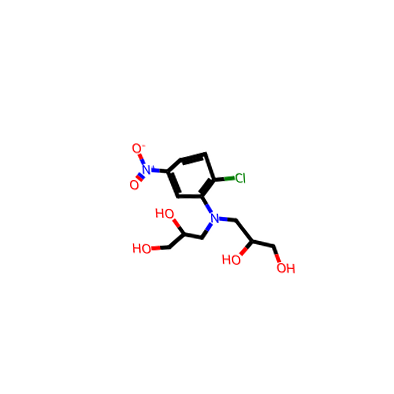 O=[N+]([O-])c1ccc(Cl)c(N(CC(O)CO)CC(O)CO)c1